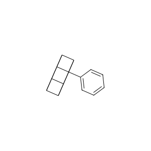 c1ccc(C23C4C5C6C4C2C6C53)cc1